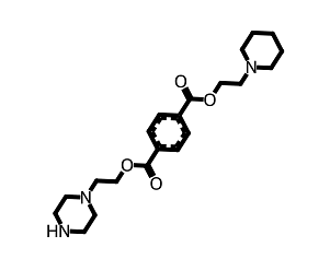 O=C(OCCN1CCCCC1)c1ccc(C(=O)OCCN2CCNCC2)cc1